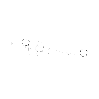 CC(=O)O[C@@H]1[C@@H](Nc2cccc(C(F)(F)F)n2)[C@H]2OC[C@](COCCCCC(=O)OCc3ccccc3)(O2)[C@@H]1OC(C)=O